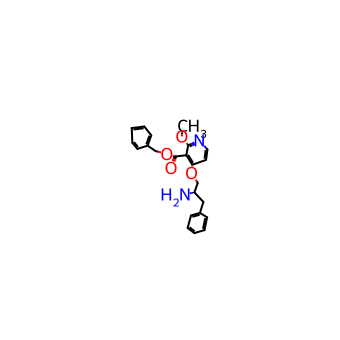 COc1nccc(OC[C@H](N)Cc2ccccc2)c1C(=O)OCc1ccccc1